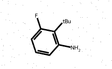 CC(C)(C)c1c(N)cccc1F